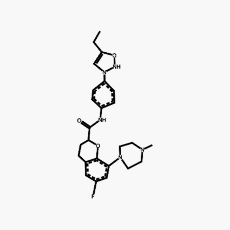 CCC1=CN(c2ccc(NC(=O)C3CCc4cc(F)cc(N5CCN(C)CC5)c4O3)cc2)NO1